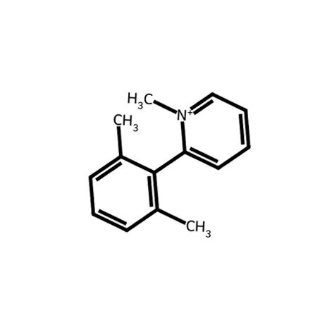 Cc1cccc(C)c1-c1cccc[n+]1C